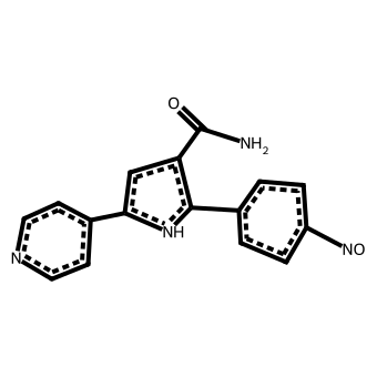 NC(=O)c1cc(-c2ccncc2)[nH]c1-c1ccc(N=O)cc1